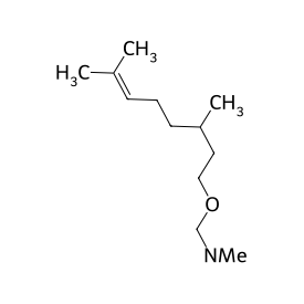 CNCOCCC(C)CCC=C(C)C